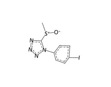 C[S+]([O-])c1nnnn1-c1ccc(I)cc1